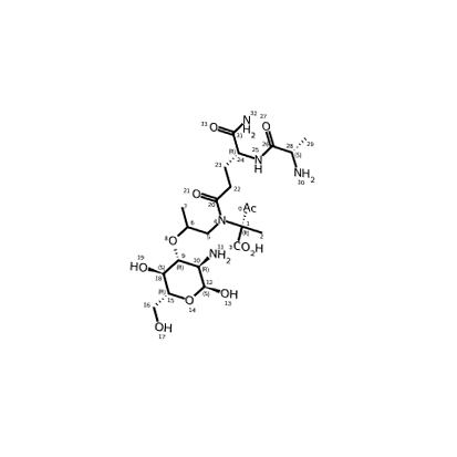 CC(=O)[C@](C)(C(=O)O)N(CC(C)O[C@@H]1[C@@H](N)[C@@H](O)O[C@H](CO)[C@H]1O)C(=O)CC[C@@H](NC(=O)[C@H](C)N)C(N)=O